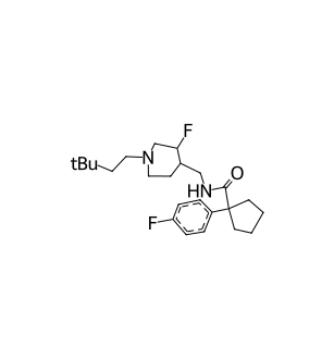 CC(C)(C)CCN1CCC(CNC(=O)C2(c3ccc(F)cc3)CCCC2)C(F)C1